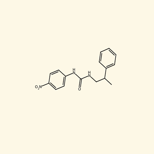 CC(CNC(=O)Nc1ccc([N+](=O)[O-])cc1)c1ccccc1